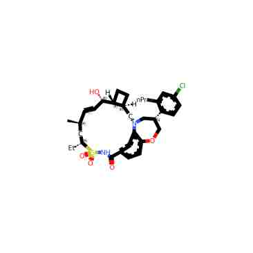 CCCc1cc(Cl)ccc1[C@@H]1COc2ccc3cc2N(C1)C[C@@H]1CC[C@H]1[C@@H](O)/C=C/[C@H](C)C[C@@H](CC)S(=O)(=O)NC3=O